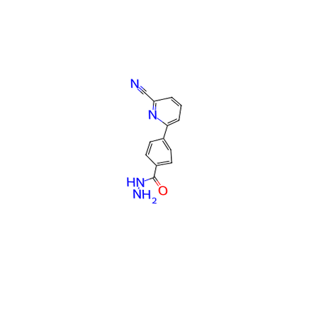 N#Cc1cccc(-c2ccc(C(=O)NN)cc2)n1